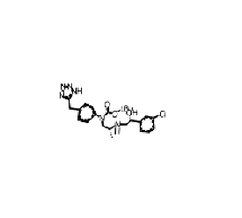 C[C@H](CN(C(=O)OC(C)(C)C)c1ccc(Cc2nnn[nH]2)cc1)NC[C@H](O)c1cccc(Cl)c1